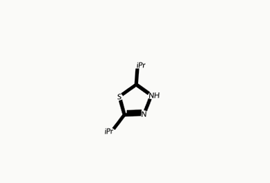 CC(C)C1=NNC(C(C)C)S1